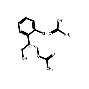 CC(=O)OC[C@H](CO)c1ccccc1Cl.NC(=O)O